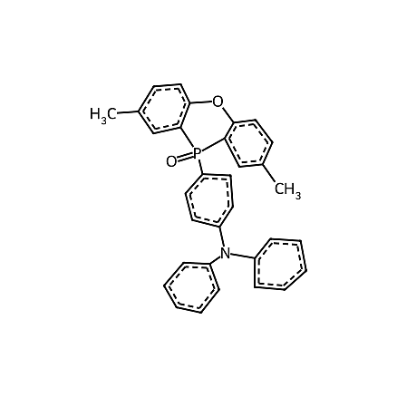 Cc1ccc2c(c1)P(=O)(c1ccc(N(c3ccccc3)c3ccccc3)cc1)c1cc(C)ccc1O2